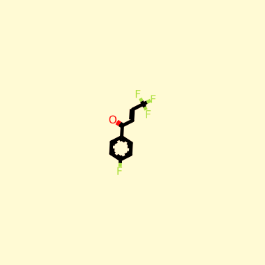 O=C(C=CC(F)(F)F)c1ccc(F)cc1